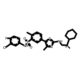 Cc1ccc(-c2sc(NC[C@H](C)C3CCCCC3)nc2C)cc1S(=O)(=O)Nc1ccc(F)c(Cl)c1